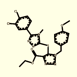 CCOC(=O)c1nnn(Cc2ccc(OC)cc2)c1Sc1nnc(-c2ccc(Cl)c(Cl)c2)n1C